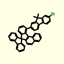 CC1(C)c2cc(Br)ccc2-c2ccc(-c3cccc4c3-c3c(ccc5ccccc35)C43c4ccccc4-c4ccccc43)cc21